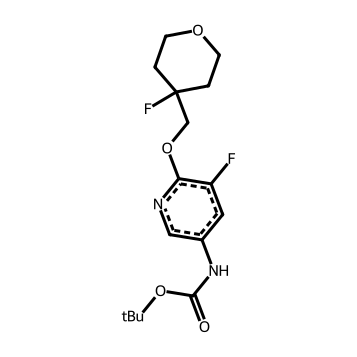 CC(C)(C)OC(=O)Nc1cnc(OCC2(F)CCOCC2)c(F)c1